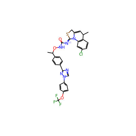 CC1C=C2CS/C(=N\C(=O)NOC(C)c3ccc(-c4ncn(-c5ccc(OC(F)(F)F)cc5)n4)cc3)N2c2cc(Cl)ccc21